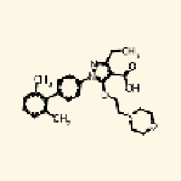 CCc1nn(-c2ccc(-c3c(C)cccc3C)cc2)c(OCCN2CCOCC2)c1C(=O)O